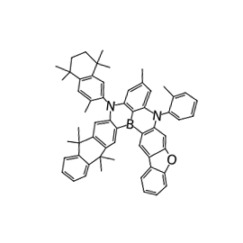 Cc1cc2c3c(c1)N(c1ccccc1C)c1cc4oc5ccccc5c4cc1B3c1cc3c(cc1N2c1cc2c(cc1C)C(C)(C)CCC2(C)C)C(C)(C)c1ccccc1C3(C)C